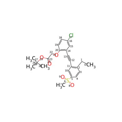 CCc1ccc(S(C)(=O)=O)cc1C#Cc1cc(Cl)ccc1OCC(=O)OC(C)(C)C